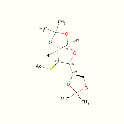 CC(=O)S[C@H]1[C@H]2OC(C)(C)O[C@H]2O[C@@H]1[C@H]1COC(C)(C)O1